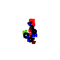 Cc1c(Br)cnc(N2CCCC(F)(F)CC2)c1C(=O)Nc1cccc(S(C)(=O)=NC(=O)CN(C)C(=O)O)c1